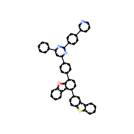 c1ccc(-c2cc(-c3ccc(-c4ccc(-c5ccc6sc7ccccc7c6c5)c5c4oc4ccccc45)cc3)nc(-c3ccc(-c4cccnc4)cc3)n2)cc1